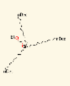 CCCCCCCCCCCCCCCCCCCC[Si](CCCCCCCCCCCCCCCCCCCC)(CCCCCCCCCCCCCCCCCCCC)OCCOCC